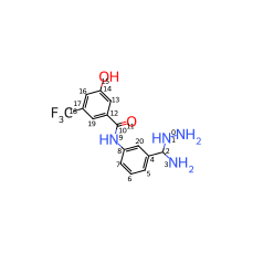 NNC(N)c1cccc(NC(=O)c2cc(O)cc(C(F)(F)F)c2)c1